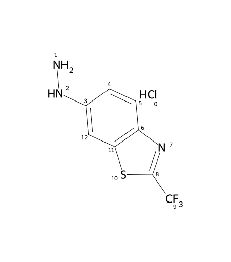 Cl.NNc1ccc2nc(C(F)(F)F)sc2c1